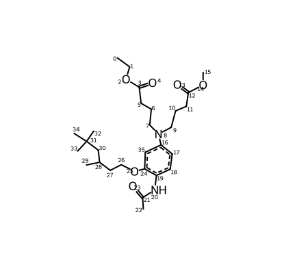 CCOC(=O)CCCN(CCCC(=O)OC)c1ccc(NC(C)=O)c(OCCC(C)CC(C)(C)C)c1